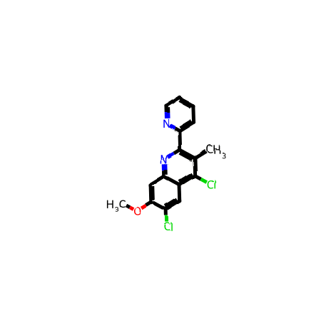 COc1cc2nc(-c3ccccn3)c(C)c(Cl)c2cc1Cl